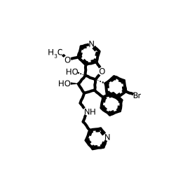 COc1cncc2c1[C@]1(O)[C@H](O)C(CNCc3cccnc3)C(c3ccccc3)[C@]1(c1ccc(Br)cc1)O2